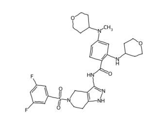 CN(c1ccc(C(=O)Nc2n[nH]c3c2CN(S(=O)(=O)c2cc(F)cc(F)c2)CC3)c(NC2CCOCC2)c1)C1CCOCC1